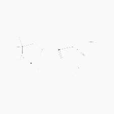 CCOP(=O)(CC(=O)OC1CC(C)(C)N(C)C(C)(C)C1)OCC